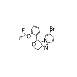 FC(F)Oc1ccccc1C1OCCC2N=C3C=CC(Br)=CN3C21